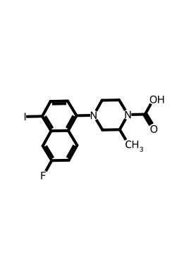 CC1CN(c2ccc(I)c3cc(F)ccc23)CCN1C(=O)O